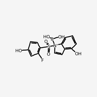 O=S(=O)(c1ccc(O)cc1F)[N+]1(B(O)O)C=Cc2c(O)cccc21